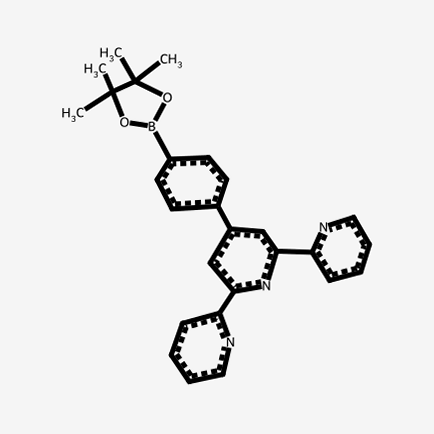 CC1(C)OB(c2ccc(-c3cc(-c4ccccn4)nc(-c4ccccn4)c3)cc2)OC1(C)C